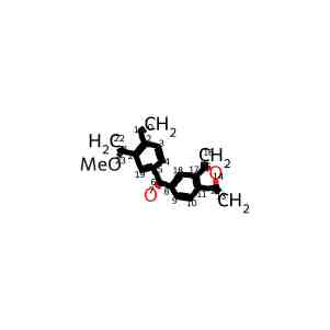 C=Cc1ccc(C(=O)c2ccc3c(=C)oc(=C)c3c2)cc1C(=C)OC